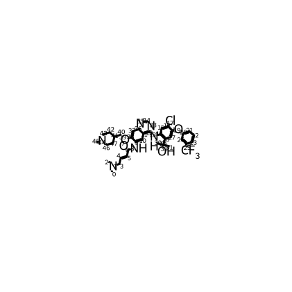 CN(C)CC=CC(=O)Nc1cc2c(Nc3cc(Cl)c(Oc4cccc(C(F)(F)F)c4)cc3C(C)(C)O)ncnc2cc1OCC1CCN(C)CC1